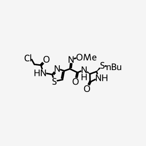 CCCCS[C@H]1NC(=O)[C@H]1NC(=O)/C(=N\OC)c1csc(NC(=O)CCl)n1